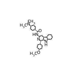 COc1ccc(-c2nc(NC(=O)c3ccc(N(C)C)cc3)cc3c2[nH]c2ccccc23)cc1